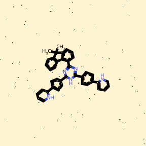 CC1(C)c2ccccc2-c2c(C3=NC(c4ccc(C5C=CC=CN5)cc4)NC(c4ccc(C5=CC=CCN5)cc4)=N3)cccc21